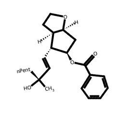 CCCCC[C@@](C)(O)/C=C/[C@@H]1[C@H]2CCO[C@H]2C[C@H]1OC(=O)c1ccccc1